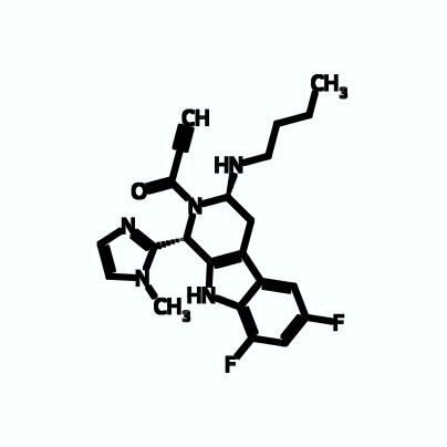 C#CC(=O)N1[C@@H](c2nccn2C)c2[nH]c3c(F)cc(F)cc3c2C[C@@H]1NCCCC